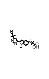 CC(C)(Sc1ccc2[nH]c(-c3cc(C(C)(C)C#N)ncn3)cc2c1)C(=O)O